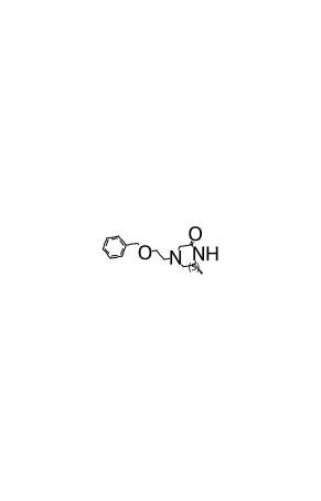 C[C@H]1CN(CCOCc2ccccc2)CC(=O)N1